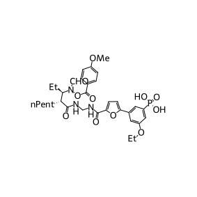 CCCCC[C@@H](C(=O)NCNC(=O)c1ccc(-c2cc(OCC)cc(P(=O)(O)O)c2)o1)[C@@H](CC)N(C=O)OC(=O)c1ccc(OC)cc1